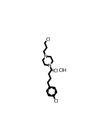 Cl.Cl.ClCCCN1CCN(CCCCc2ccc(Cl)cc2)CC1